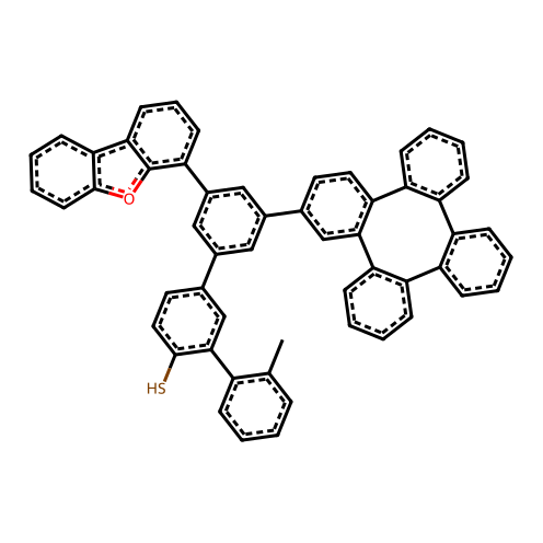 Cc1ccccc1-c1cc(-c2cc(-c3ccc4c(c3)-c3ccccc3-c3ccccc3-c3ccccc3-4)cc(-c3cccc4c3oc3ccccc34)c2)ccc1S